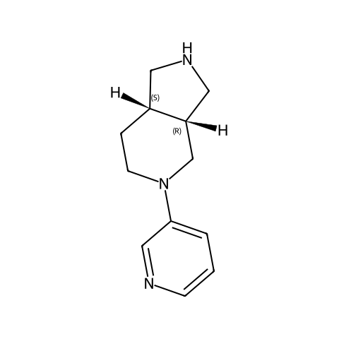 c1cncc(N2CC[C@@H]3CNC[C@@H]3C2)c1